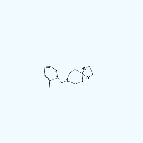 Cc1ccccc1CN1CCC2(CC1)NCCO2